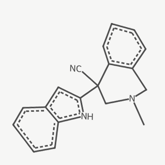 CN1Cc2ccccc2C(C#N)(c2cc3ccccc3[nH]2)C1